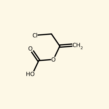 C=C(CCl)OC(=O)O